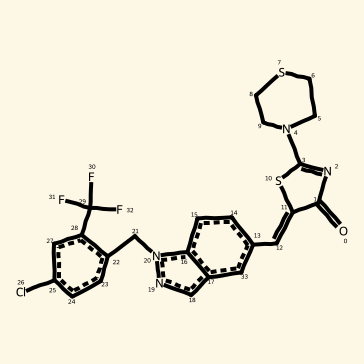 O=C1N=C(N2CCSCC2)S/C1=C\c1ccc2c(cnn2Cc2ccc(Cl)cc2C(F)(F)F)c1